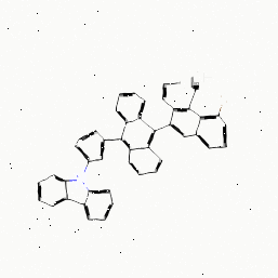 C#Cc1c(/C=C\C)c(-c2c3ccccc3c(-c3cccc(-n4c5ccccc5c5ccccc54)c3)c3ccccc23)cc2cccc(S)c12